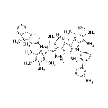 Bc1cccc(-c2cccc(-n3c4c(B)c(B)c(B)c(B)c4c4c(B)c(-c5c(B)c(B)c6c(c5B)c5c(B)c(B)c(B)c(B)c5n6-c5ccc6c(c5)S(C)(C)c5ccccc5-6)c(B)c(B)c43)c2)c1